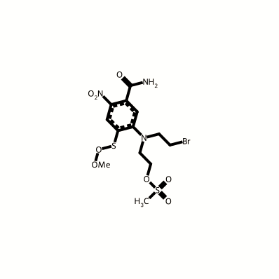 COOSc1cc([N+](=O)[O-])c(C(N)=O)cc1N(CCBr)CCOS(C)(=O)=O